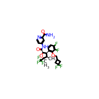 C[C@@H]1[C@H](c2ccc(F)c(F)c2OCC2CC(F)(F)C2)[C@H](C(=O)Nc2ccnc(C(N)=O)c2)O[C@]1(C)C(F)(F)F